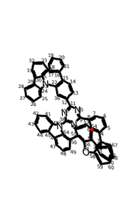 c1ccc(-c2cccc(-c3nc(-c4ccc(-c5ccccc5)c(-n5c6ccccc6c6ccccc65)c4)nc(-n4c5ccccc5c5cccc(-c6cccc7c6oc6ccccc67)c54)n3)c2)cc1